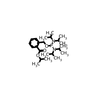 CC(C)OC(=O)c1ccccc1COP(N(C(C)C)C(C)C)N(C(C)C)C(C)C